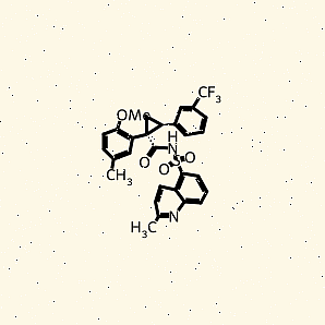 COc1ccc(C)cc1[C@@]1(C(=O)NS(=O)(=O)c2cccc3nc(C)ccc23)C[C@H]1c1cccc(C(F)(F)F)c1